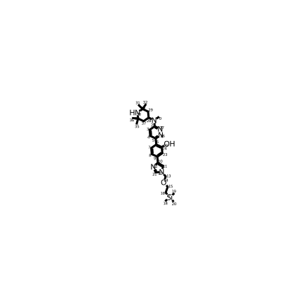 CN(c1ccc(-c2ccc(-c3cn(COCC[Si](C)(C)C)cn3)cc2O)nn1)C1CC(C)(C)NC(C)(C)C1